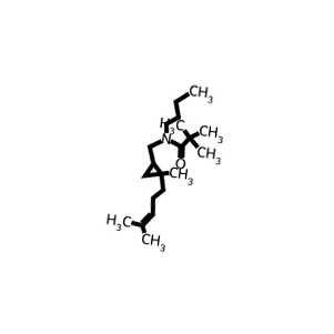 CCCCN(CC1CC1(C)CCC=C(C)C)C(=O)C(C)(C)C